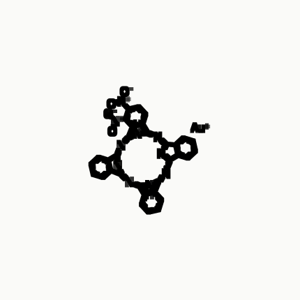 O=[N+]([O-])c1ccc2c3nc4nc(nc5[nH]c(nc6nc(nc([nH]3)c2c1[N+](=O)[O-])-c1ccccc1-6)c1ccccc51)-c1ccccc1-4.[Au+]